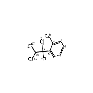 Clc1ccccc1C(Cl)(Cl)C(Cl)Cl